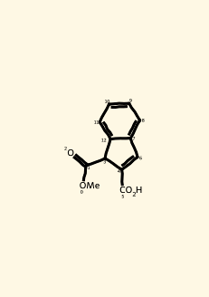 COC(=O)C1C(C(=O)O)=Cc2ccccc21